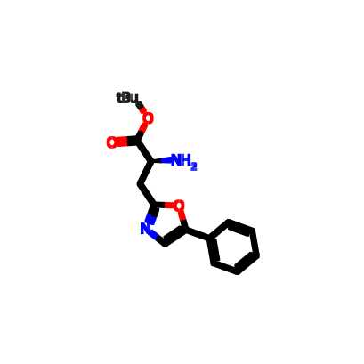 CC(C)(C)OC(=O)[C@@H](N)Cc1ncc(-c2ccccc2)o1